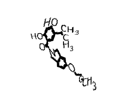 COCCOc1ccc2c(c1)CN(C(=O)c1cc(C(C)C)c(O)cc1O)C2